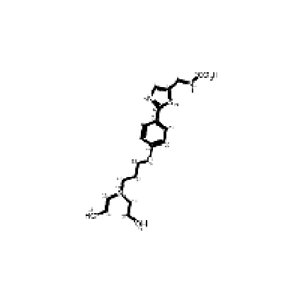 O=C(O)NCc1cnc(-c2ccc(OCCCN(CCO)CCO)cc2)s1